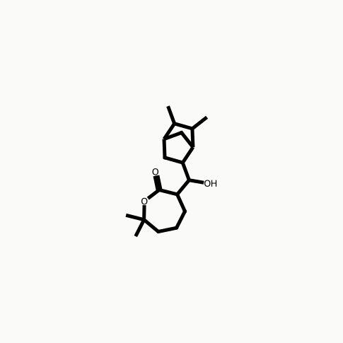 CC1C2CC(C1C)C(C(O)C1CCCC(C)(C)OC1=O)C2